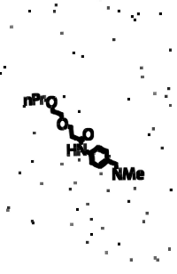 CCCOCCOCCC(=O)Nc1ccc(CNC)cc1